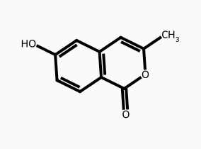 Cc1cc2cc(O)ccc2c(=O)o1